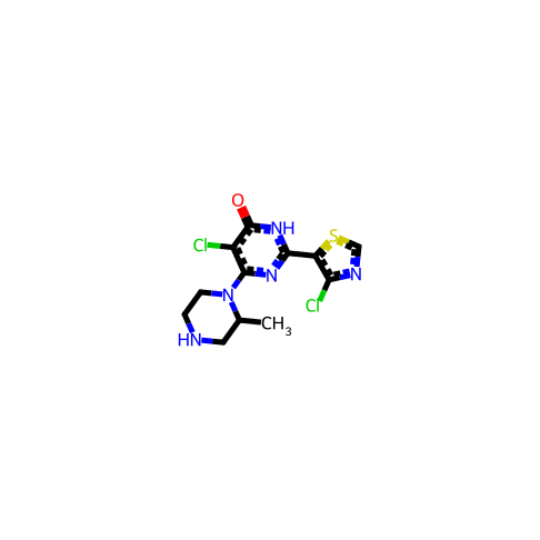 CC1CNCCN1c1nc(-c2scnc2Cl)[nH]c(=O)c1Cl